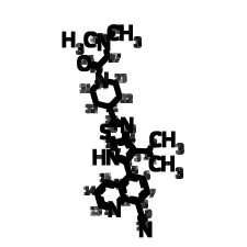 CC(C)c1c(-c2ccc(C#N)c3ncccc23)[nH]c2sc(C3CCN(C(=O)CN(C)C)CC3)nc12